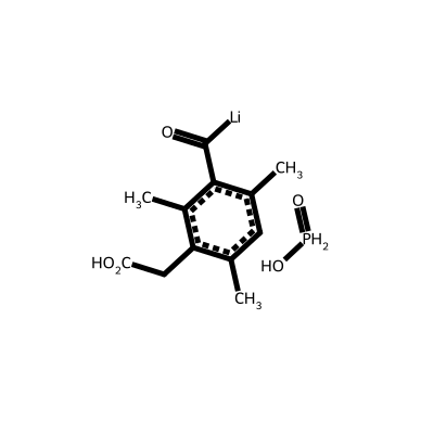 O=[PH2]O.[Li][C](=O)c1c(C)cc(C)c(CC(=O)O)c1C